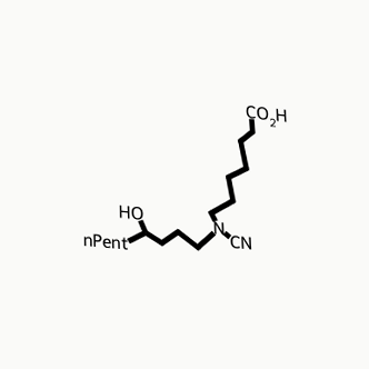 CCCCCC(O)CCCN(C#N)CCCCCCC(=O)O